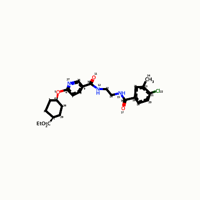 CCOC(=O)[C@H]1CC[C@@H](Oc2ccc(C(=O)NCCNC(=O)c3ccc(Cl)c(C)c3)cn2)CC1